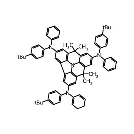 CC(C)(C)c1ccc(N(C2=CCCC=C2)c2cc3c4c(c2)c2cc(N(c5ccccc5)c5ccc(C(C)(C)C)cc5)cc5c2n4-c2c(cc(N(c4ccccc4)c4ccc(C(C)(C)C)cc4)cc2C5(C)C)C3(C)C)cc1